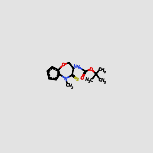 CN1C(=S)[C@@H](NC(=O)OC(C)(C)C)COc2ccccc21